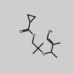 CC(=CC(C)C)C(C)OC(C)(C)COC(=O)C1CC1